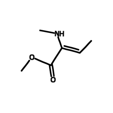 CC=C(NC)C(=O)OC